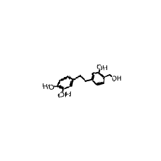 OCc1ccc(CCc2ccc(O)c(O)c2)cc1O